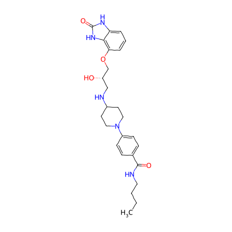 CCCCNC(=O)c1ccc(N2CCC(NC[C@H](O)COc3cccc4[nH]c(=O)[nH]c34)CC2)cc1